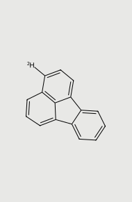 [2H]c1ccc2c3c(cccc13)-c1ccccc1-2